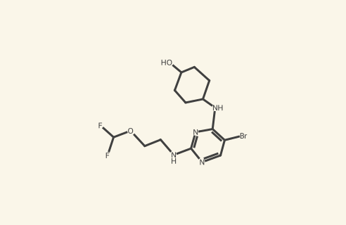 OC1CCC(Nc2nc(NCCOC(F)F)ncc2Br)CC1